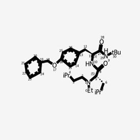 CCN(CCC(C)C)[C@@H](CC(C)C)C(=O)N[C@@H](Cc1ccc(OCc2ccccc2)cc1)C(=O)NC(C)(C)C